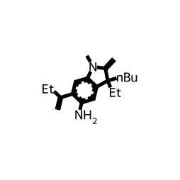 C=C(CC)c1cc2c(cc1N)C(CC)(CCCC)C(=C)N2C